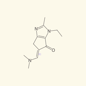 CCn1c(C)nc2c1C(=O)/C(=C/N(C)C)C2